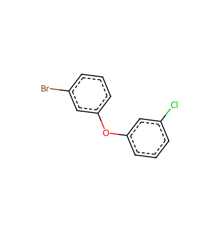 Clc1cccc(Oc2cccc(Br)c2)c1